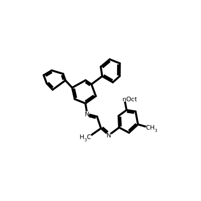 CCCCCCCCc1cc(C)cc(N=C(C)C=Nc2cc(-c3ccccc3)cc(-c3ccccc3)c2)c1